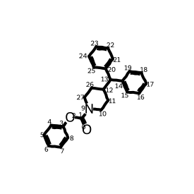 O=C(Oc1ccccc1)N1CCC(C(c2ccccc2)c2ccccc2)CC1